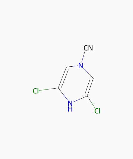 N#CN1C=C(Cl)NC(Cl)=C1